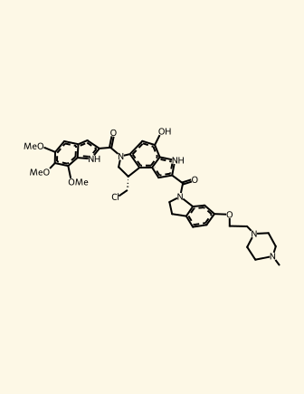 COc1cc2cc(C(=O)N3C[C@@H](CCl)c4c3cc(O)c3[nH]c(C(=O)N5CCc6ccc(OCCN7CCN(C)CC7)cc65)cc43)[nH]c2c(OC)c1OC